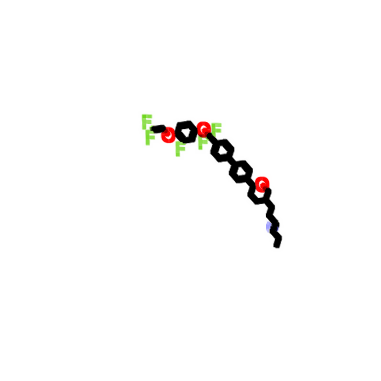 CC/C=C/CCC1CCC(c2ccc(-c3ccc(C(F)(F)Oc4ccc(OC=C(F)F)c(F)c4)cc3)cc2)OC1